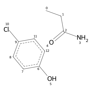 CCC(N)=O.Oc1ccc(Cl)cc1